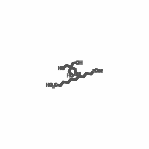 CCCCCCCCCCCCCCCCCCCC(=O)O.OCC(CO)(CO)CO